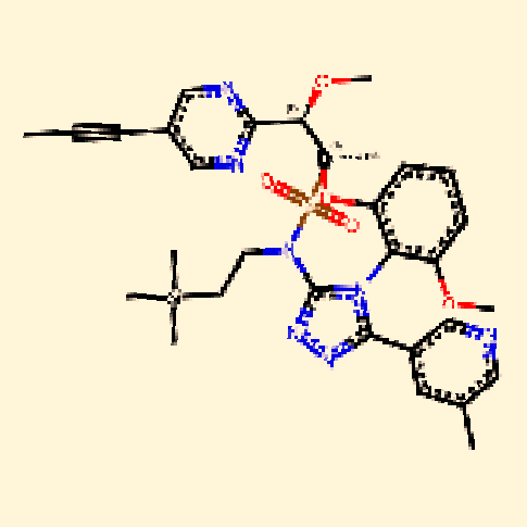 CC#Cc1cnc([C@@H](OC)[C@H](C)S(=O)(=O)N(CC[Si](C)(C)C)c2nnc(-c3cncc(C)c3)n2-c2c(OC)cccc2OC)nc1